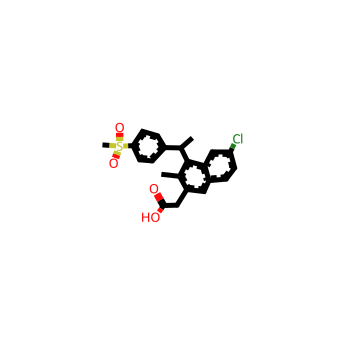 Cc1c(CC(=O)O)cc2ccc(Cl)cc2c1C(C)c1ccc(S(C)(=O)=O)cc1